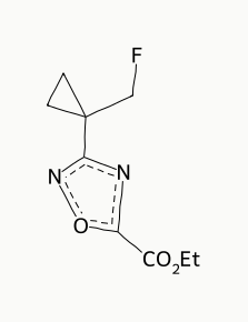 CCOC(=O)c1nc(C2(CF)CC2)no1